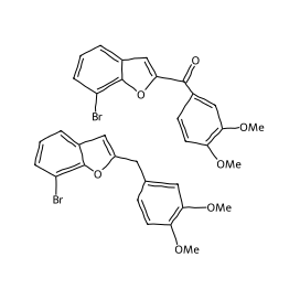 COc1ccc(C(=O)c2cc3cccc(Br)c3o2)cc1OC.COc1ccc(Cc2cc3cccc(Br)c3o2)cc1OC